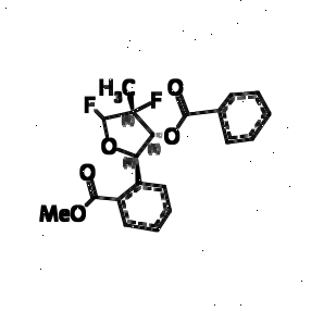 COC(=O)c1ccccc1[C@H]1OC(F)[C@](C)(F)[C@@H]1OC(=O)c1ccccc1